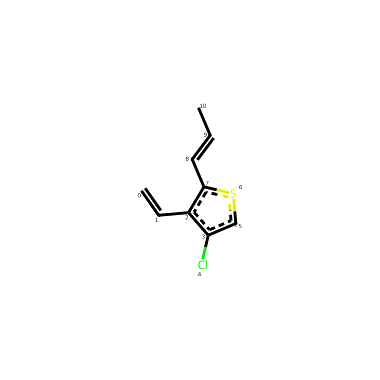 C=Cc1c(Cl)[c]sc1C=CC